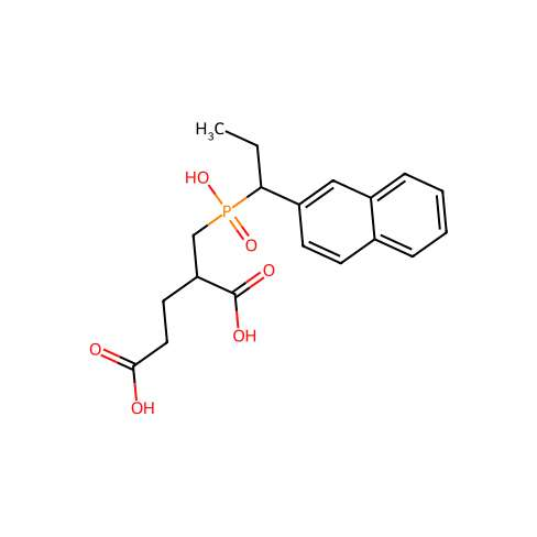 CCC(c1ccc2ccccc2c1)P(=O)(O)CC(CCC(=O)O)C(=O)O